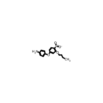 CCCCOc1cc(Oc2ccc(N)cc2)ccc1[N+](=O)[O-]